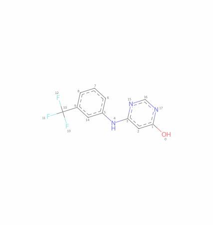 Oc1cc(Nc2cccc(C(F)(F)F)c2)ncn1